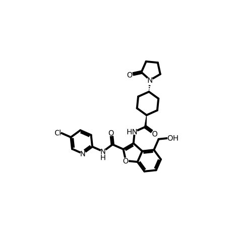 O=C(Nc1ccc(Cl)cn1)c1oc2cccc(CO)c2c1NC(=O)[C@H]1CC[C@H](N2CCCC2=O)CC1